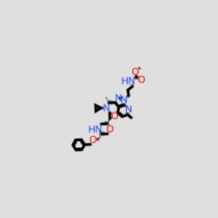 COC(=O)NCCCn1nc([C@@H](C)N(C2CC2)C2OC2[C@H]2CN[C@@H](COCc3ccccc3)CO2)c2ccc(C)nc21